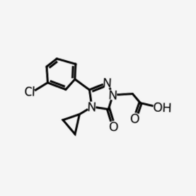 O=C(O)Cn1nc(-c2cccc(Cl)c2)n(C2CC2)c1=O